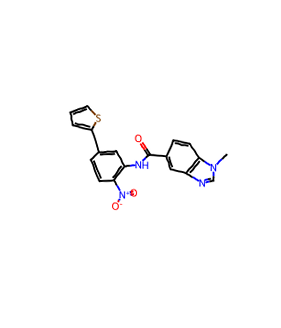 Cn1cnc2cc(C(=O)Nc3cc(-c4cccs4)ccc3[N+](=O)[O-])ccc21